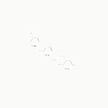 COc1ccc2c(c1)CCN(Cc1cccc(Oc3ccc(C(C)(C)C)cc3)c1)C2